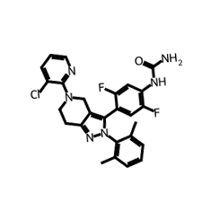 Cc1cccc(C)c1-n1nc2c(c1-c1cc(F)c(NC(N)=O)cc1F)CN(c1ncccc1Cl)CC2